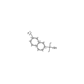 CC(C)(S)c1ccc2ccc(C(F)(F)F)cc2c1